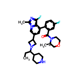 CCC(C1CCNCC1)N1CC(c2cc(-c3ccc(F)cc3C(=O)N3CCOC[C@H]3C)c3c(F)nc(C)n3c2)C1